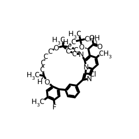 Cc1cc2c(cc1F)-c1cccc(c1)-c1nc3cc(C)c([C@H](OC(C)(C)C)C(=O)O)c(n3c1Cl)N1CCC(C)(CC1)OCCCC[C@H](C)O2